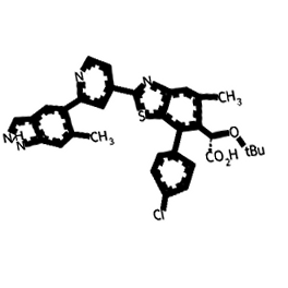 Cc1cc2[nH]ncc2cc1-c1cc(-c2nc3cc(C)c([C@H](OC(C)(C)C)C(=O)O)c(-c4ccc(Cl)cc4)c3s2)ccn1